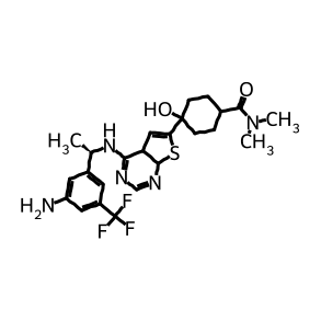 C[C@@H](NC1=NC=NC2SC(C3(O)CCC(C(=O)N(C)C)CC3)=CC12)c1cc(N)cc(C(F)(F)F)c1